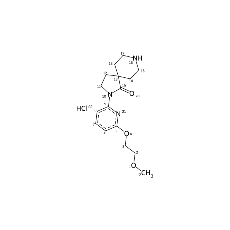 COCCOc1cccc(N2CCC3(CCNCC3)C2=O)n1.Cl